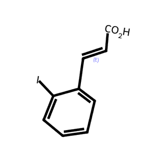 O=C(O)/C=C/c1ccccc1I